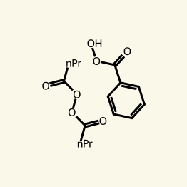 CCCC(=O)OOC(=O)CCC.O=C(OO)c1ccccc1